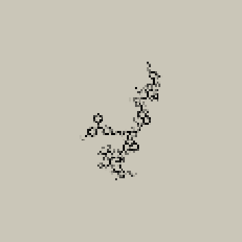 CCCC1CC(C(=O)NC(C(C)Cl)C2OC(SC)C(O)C(OC(=O)c3cc(=O)c4c(OCC(COc5cccc6oc(C(=O)OC7C(O)C(SC)OC(C(NC(=O)C8CC(CCC)CN8C)C(C)Cl)C7O)cc(=O)c56)OC(=O)COCCN5CCN(C(c6ccccc6)c6ccc(Cl)cc6)CC5)cccc4o3)C2O)N(C)C1